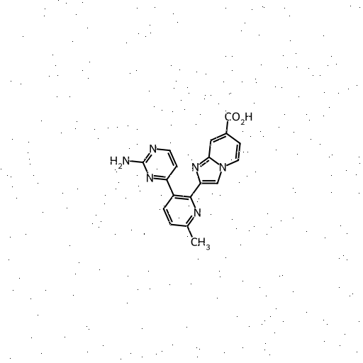 Cc1ccc(-c2ccnc(N)n2)c(-c2cn3ccc(C(=O)O)cc3n2)n1